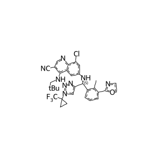 Cc1c(-c2ncco2)cccc1[C@H](Nc1cc(Cl)c2ncc(C#N)c(NCC(C)(C)C)c2c1)c1cn(C2(C(F)(F)F)CC2)nn1